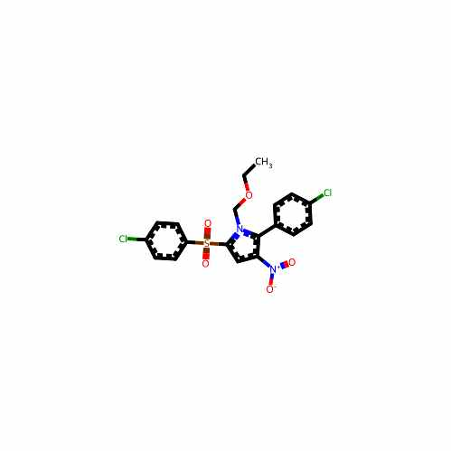 CCOCn1c(S(=O)(=O)c2ccc(Cl)cc2)cc([N+](=O)[O-])c1-c1ccc(Cl)cc1